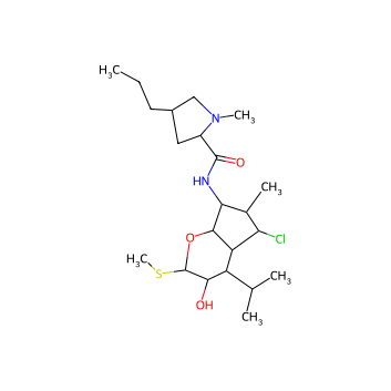 CCCC1CC(C(=O)NC2C(C)C(Cl)C3C2OC(SC)C(O)C3C(C)C)N(C)C1